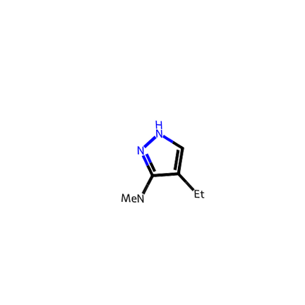 CCc1c[nH]nc1NC